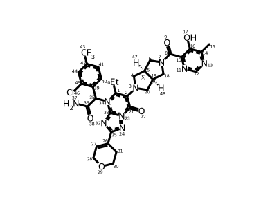 CCc1c(N2C[C@H]3CN(C(=O)c4ncnc(C)c4O)C[C@H]3C2)c(=O)n2nc(C3=CCOCC3)nc2n1C(C(N)=O)c1ccc(C(F)(F)F)cc1Cl